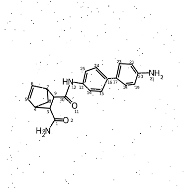 NC(=O)C1C2C=CC(C2)C1C(=O)Nc1ccc(-c2ccc(N)cc2)cc1